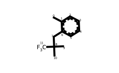 Cc1ccccc1CC(C)(C)C(F)(F)F